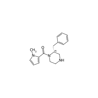 Cn1cccc1C(=O)N1CCNC[C@H]1Cc1ccccc1